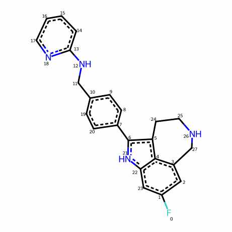 Fc1cc2c3c(c(-c4ccc(CNc5ccccn5)cc4)[nH]c3c1)CCNC2